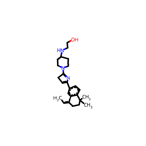 C/C=C1/CCC(C)(C)c2ccc(C3=CCC(N4CCC(NCCO)CC4)=N3)cc21